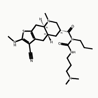 CCCN(C(=O)NCCCN(C)C)C(=O)[C@@H]1C[C@@H]2Cc3c(sc(NC)c3C#N)C[C@H]2N(C)C1